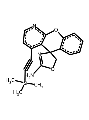 C[Si](C)(C)C#Cc1ccnc2c1C1(COC(N)=N1)c1ccccc1O2